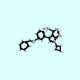 Nc1ncnc2c1c(-c1cccc(OCc3ccccc3)c1)cn2C1CCC1